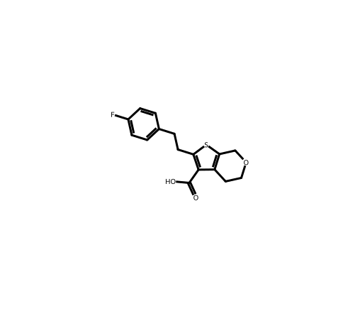 O=C(O)c1c(CCc2ccc(F)cc2)sc2c1CCOC2